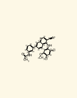 COc1cc(Nc2c(C#N)cnc3cc(-c4cccc(NC(C)=O)c4)ccc23)c(Cl)cc1Cl